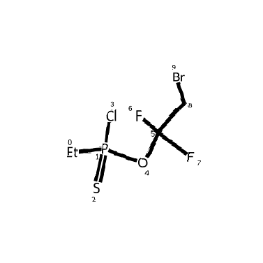 CCP(=S)(Cl)OC(F)(F)CBr